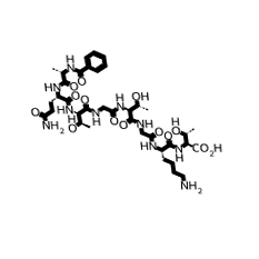 C[C@H](NC(=O)c1ccccc1)C(=O)N[C@@H](CCC(N)=O)C(=O)N[C@H](C(=O)NCC(=O)N[C@H](C(=O)NCC(=O)N[C@@H](CCCCN)C(=O)N[C@H](C(=O)O)[C@@H](C)O)[C@@H](C)O)[C@@H](C)O